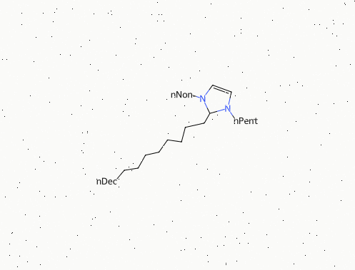 CCCCCCCCCCCCCCCCCCC1N(CCCCC)C=CN1CCCCCCCCC